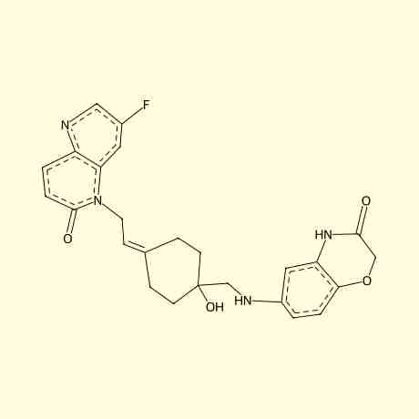 O=C1COc2ccc(NCC3(O)CCC(=CCn4c(=O)ccc5ncc(F)cc54)CC3)cc2N1